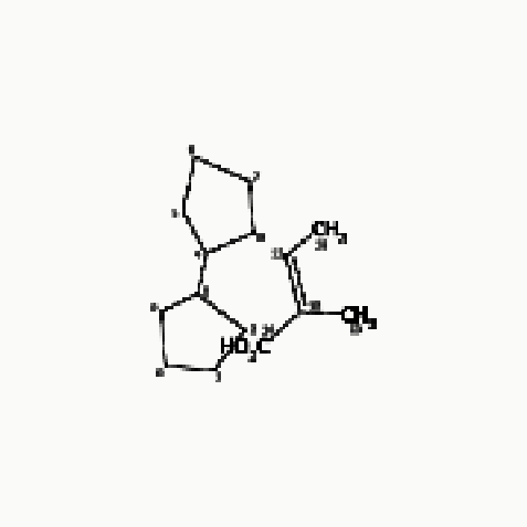 C1CCC(C2CCCC2)C1.CC=C(C)C(=O)O